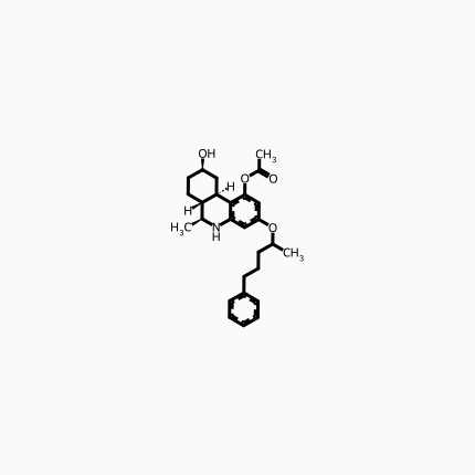 CC(=O)Oc1cc(OC(C)CCCc2ccccc2)cc2c1[C@@H]1C[C@H](O)CC[C@H]1[C@H](C)N2